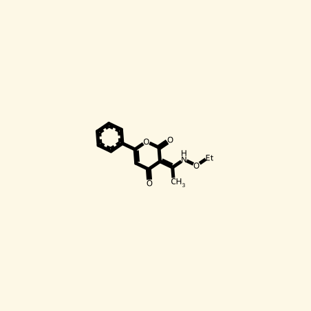 CCONC(C)=C1C(=O)C=C(c2ccccc2)OC1=O